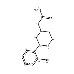 COC(=O)CN1CCOC(c2ccncc2N)C1